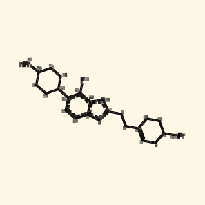 CCCC1CC=C(CCc2cc3ccc(C4CCC(CCC)CC4)c(F)c3s2)CC1